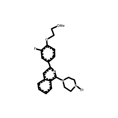 CCN1CCN(c2nc(-c3ccc(OCCOC)c(F)c3)cc3ccccc23)CC1